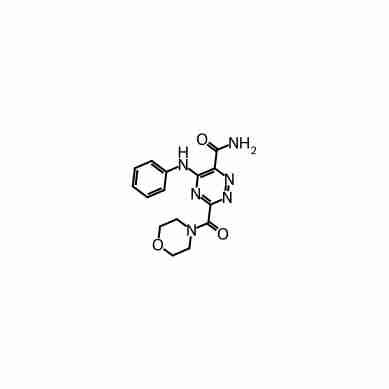 NC(=O)c1nnc(C(=O)N2CCOCC2)nc1Nc1ccccc1